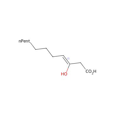 CCCCCCCC/C=C(\O)CC(=O)O